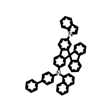 c1ccc(-c2ccc(N(c3ccc4c(c3)C3(c5ccccc5-c5ccccc53)c3cc(-n5ccc6ccccc65)ccc3-4)c3cccc4ccccc34)cc2)cc1